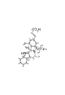 [2H][C@]1(c2c(F)cc(C=CC(=O)O)cc2F)c2[nH]c3ccccc3c2C[C@@H](C)N1CC(C)(C)F